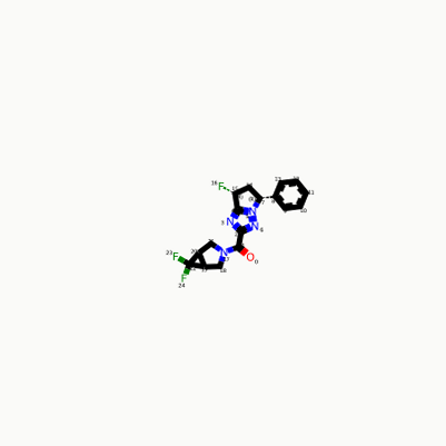 O=C(c1nc2n(n1)[C@@H](c1ccccc1)C[C@H]2F)N1CC2C(C1)C2(F)F